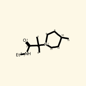 CCNC(=O)C(C)(C)N1CCC(C)CC1